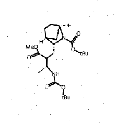 COC(=O)C(C[C@@H]1[C@H]2CC[C@H](C2)N1C(=O)OC(C)(C)C)[C@@H](C)NC(=O)OC(C)(C)C